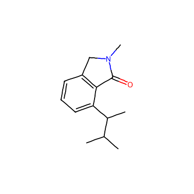 CC(C)C(C)c1cccc2c1C(=O)N(C)C2